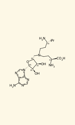 CC(C)[C@@H](N)CCN(CC[C@H](N)C(=O)O)C[C@H]1O[C@@H](n2cnc3c(N)ncnc32)[C@H](O)[C@@H]1O